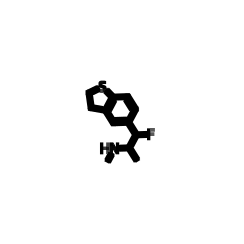 CNC(C)C(F)c1ccc2c(c1)CCS2